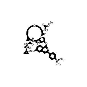 COc1ccc2c(OC3C[C@H]4C(=O)N[C@]5(C(=O)NS(=O)(=O)C6CC6)CC5/C=C\CCOCC[C@H](NC(=O)OC(C)(C)C)C(=O)N4C3)nc(-c3ccc(N(C)C)cc3)cc2c1